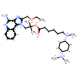 CCOCc1nc2c(N)nc3ccccc3c2n1CC(C)(C)OC(=O)CCCCCN(C)[C@H]1CC[C@@H](N(C)C)CC1